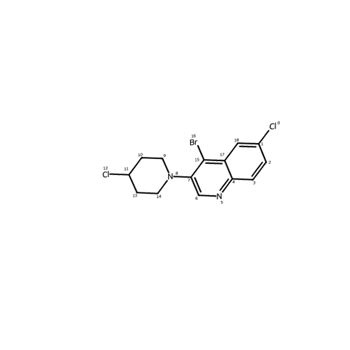 Clc1ccc2ncc(N3CCC(Cl)CC3)c(Br)c2c1